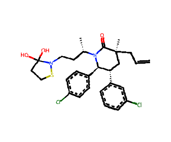 C=CC[C@@]1(C)C[C@H](c2cccc(Cl)c2)[C@@H](c2ccc(Cl)cc2)N([C@@H](C)CCN2SCCC2(O)O)C1=O